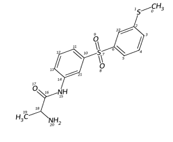 CSc1cccc(S(=O)(=O)c2cccc(NC(=O)C(C)N)c2)c1